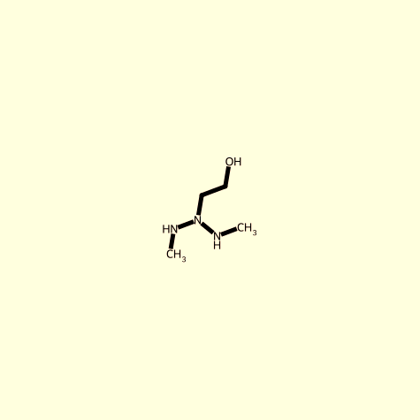 CNN(CCO)NC